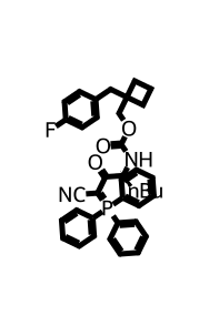 CCCC[C@H](NC(=O)OCC1(Cc2ccc(F)cc2)CCC1)C(=O)C(C#N)=P(c1ccccc1)(c1ccccc1)c1ccccc1